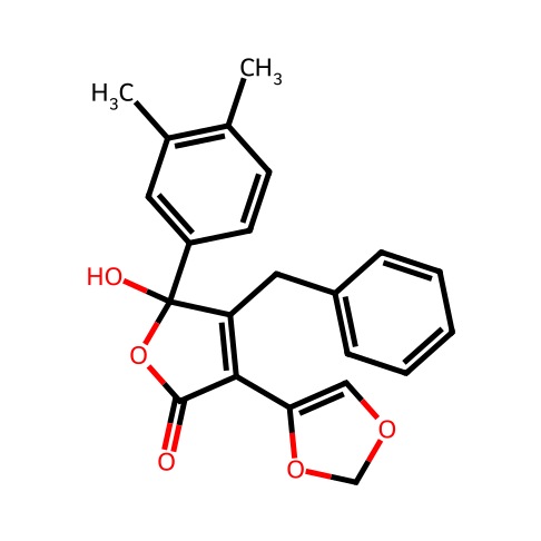 Cc1ccc(C2(O)OC(=O)C(C3=COCO3)=C2Cc2ccccc2)cc1C